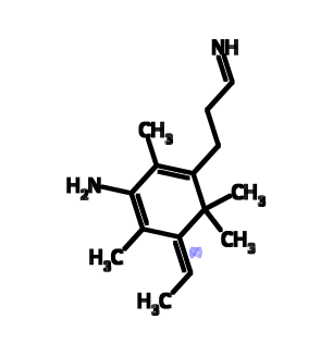 C/C=C1\C(C)=C(N)C(C)=C(CCC=N)C1(C)C